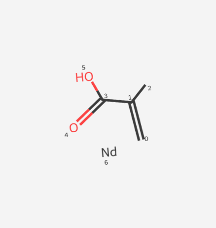 C=C(C)C(=O)O.[Nd]